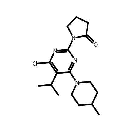 CC1CCN(c2nc(N3CCCC3=O)nc(Cl)c2C(C)C)CC1